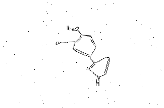 Oc1ccc(-c2cc[nH]n2)cc1Br